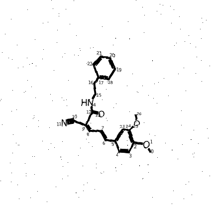 COc1ccc(C=CC=C(C#N)C(=O)NCCc2ccccc2)cc1OC